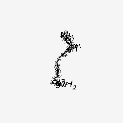 NS(=O)(=O)c1cccc(CCCCOCCCCCCNC[C@H](O)c2ccc(O)c(F)c2)c1